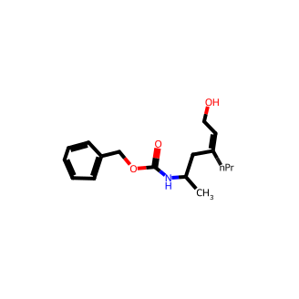 CCC/C(=C/CO)CC(C)NC(=O)OCc1ccccc1